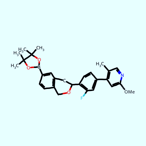 COc1cc(-c2ccc(C3Cc4cc(B5OC(C)(C)C(C)(C)O5)ccc4CO3)c(F)c2)c(C)cn1